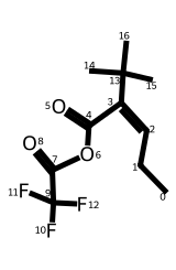 CCC=C(C(=O)OC(=O)C(F)(F)F)C(C)(C)C